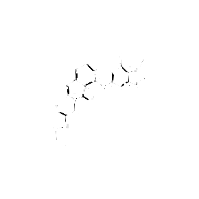 Cn1ncc2cc(Nc3cccc4ccn(CC(=O)NCC(F)(F)F)c(=O)c34)cc(Cl)c21